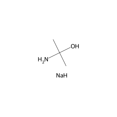 CC(C)(N)O.[NaH]